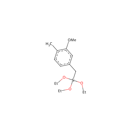 CCO[Si](Cc1ccc(C)c(OC)c1)(OCC)OCC